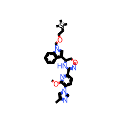 COc1nc(C2=NOCC(c3cn(COCC[Si](C)(C)C)c4ccccc34)N2)ccc1-n1cnc(C)c1